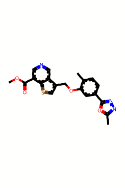 COC(=O)c1cncc2c(COc3cc(-c4nnc(C)o4)ccc3C)csc12